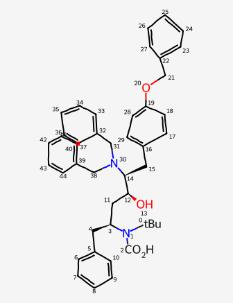 CC(C)(C)N(C(=O)O)[C@@H](Cc1ccccc1)C[C@H](O)[C@H](Cc1ccc(OCc2ccccc2)cc1)N(Cc1ccccc1)Cc1ccccc1